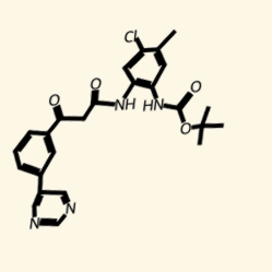 Cc1cc(NC(=O)OC(C)(C)C)c(NC(=O)CC(=O)c2cccc(-c3cncnc3)c2)cc1Cl